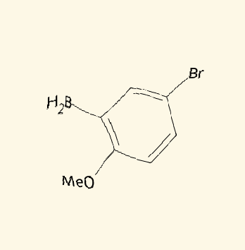 Bc1cc(Br)ccc1OC